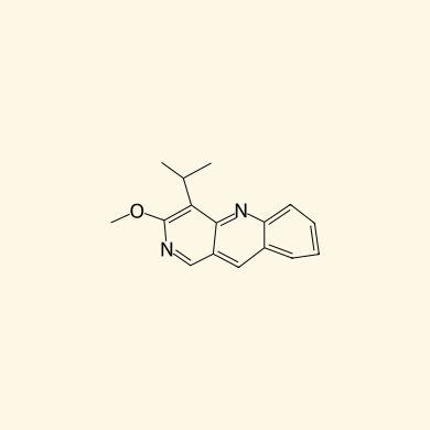 COc1ncc2cc3ccccc3nc2c1C(C)C